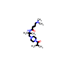 CC(C)C(=O)N1CCN(CC(C)(C)NC(=O)/C=C/CN(C)C)CC1